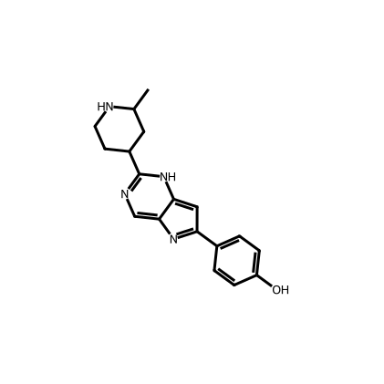 CC1CC(c2ncc3nc(-c4ccc(O)cc4)cc-3[nH]2)CCN1